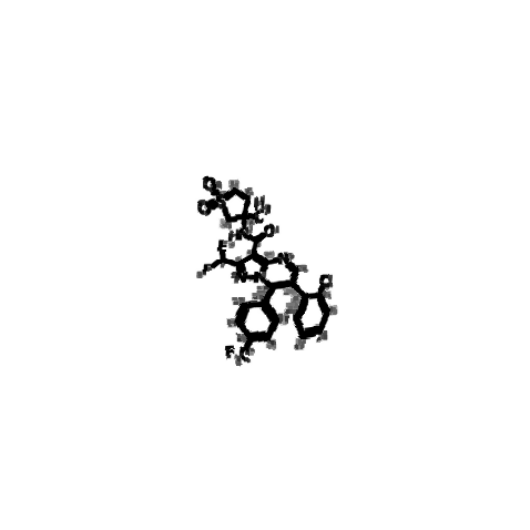 CC1(NC(=O)c2c(C(F)F)nn3c(-c4ccc(C(F)(F)F)cc4)c(-c4ccccc4Cl)cnc23)CCS(=O)(=O)C1